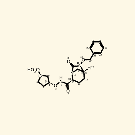 O=C(NO[C@@H]1CCN(C(=O)O)C1)[C@@H]1CC[C@@H]2CN1C(=O)N2OCc1ccccc1